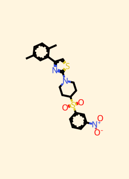 Cc1ccc(C)c(-c2csc(N3CCC(S(=O)(=O)c4cccc([N+](=O)[O-])c4)CC3)n2)c1